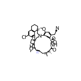 CO[C@H]1/C=C/C[C@H](C)[C@@H](C)C(=O)NS(=O)(=O)c2cc3c(cc2CC#N)OC[C@]2(CCCc4cc(Cl)ccc42)CN3C[C@@H]2CC[C@H]21